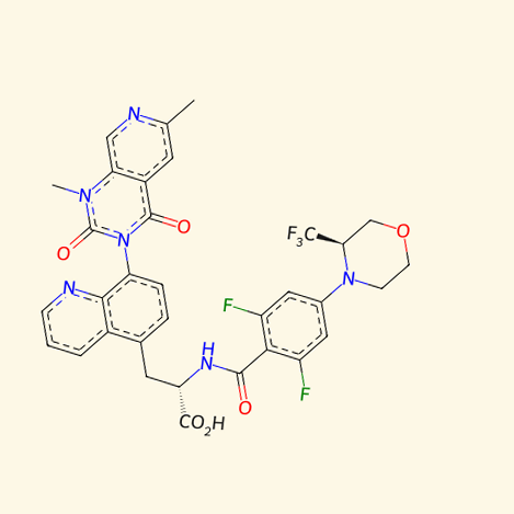 Cc1cc2c(=O)n(-c3ccc(C[C@H](NC(=O)c4c(F)cc(N5CCOC[C@@H]5C(F)(F)F)cc4F)C(=O)O)c4cccnc34)c(=O)n(C)c2cn1